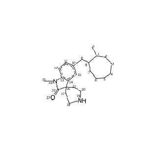 CC1CCCCCCC1Cc1ccc2c(c1)C1(CCNCC1)C(=O)N2C